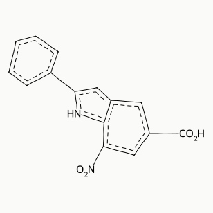 O=C(O)c1cc([N+](=O)[O-])c2[nH]c(-c3ccccc3)cc2c1